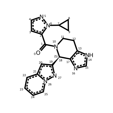 O=C(c1ccnn1C1CC1)N1CCc2[nH]cnc2[C@H]1c1cc2ccccn2n1